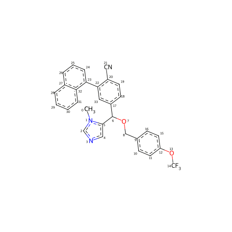 Cn1cncc1C(OCc1ccc(OC(F)(F)F)cc1)c1ccc(C#N)c(-c2cccc3ccccc23)c1